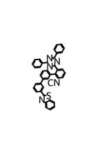 N#Cc1c(-c2cccc(-c3nc4ccccc4s3)c2)cccc1-c1ccccc1-c1nc(-c2ccccc2)nc(-c2ccccc2)n1